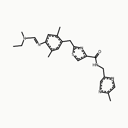 CCN(C)C=Nc1cc(C)c(Cc2nc(C(=O)NCc3cnc(C)cn3)cs2)cc1C